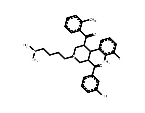 Cc1ccccc1C(=O)C1CN(CCCCN(C)C)CC(C(=O)c2cccc(O)c2)C1c1cccc(F)c1C